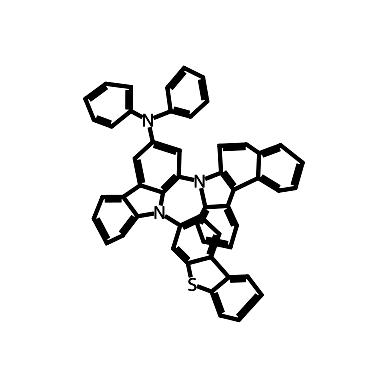 c1ccc(N(c2ccccc2)c2cc(-n3c4ccccc4c4c5ccccc5ccc43)c3c(c2)c2ccccc2n3-c2ccc3c(c2)sc2ccccc23)cc1